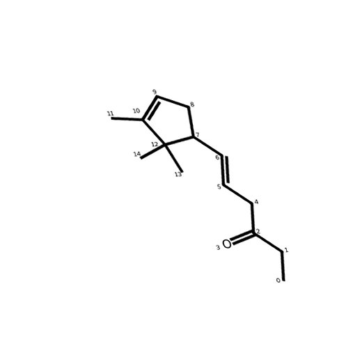 CCC(=O)C/C=C/C1CC=C(C)C1(C)C